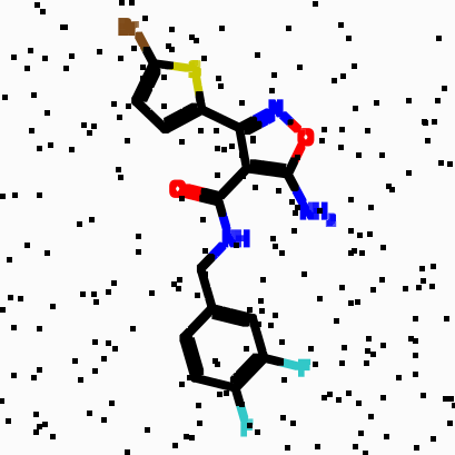 Nc1onc(-c2ccc(Br)s2)c1C(=O)NCc1ccc(F)c(F)c1